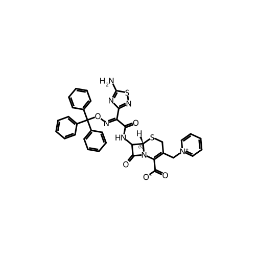 Nc1nc(C(=NOC(c2ccccc2)(c2ccccc2)c2ccccc2)C(=O)NC2C(=O)N3C(C(=O)[O-])=C(C[n+]4ccccc4)CS[C@@H]23)ns1